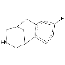 Fc1ccc2c(c1)CC1CNCC2C1